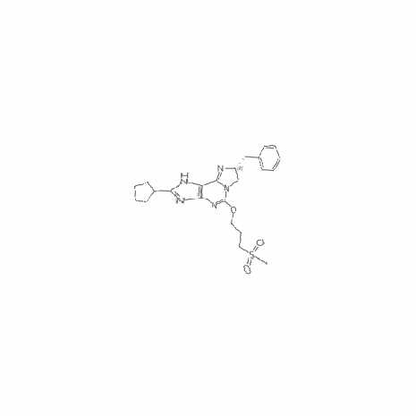 CS(=O)(=O)CCCOC1=Nc2nc(C3CCCC3)[nH]c2C2=N[C@H](Cc3ccccc3)CN12